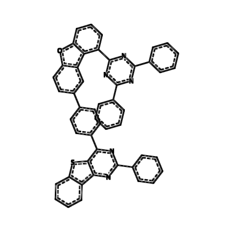 c1ccc(-c2nc(-c3ccccc3)nc(-c3cccc4oc5ccc(-c6ccc(-c7nc(-c8ccccc8)nc8c7sc7ccccc78)cc6)cc5c34)n2)cc1